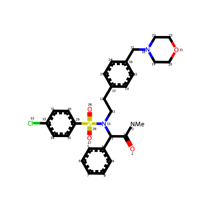 CNC(=O)C(c1ccccc1)N(CCc1ccc(CN2CCOCC2)cc1)S(=O)(=O)c1ccc(Cl)cc1